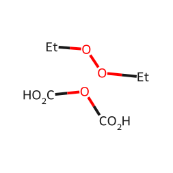 CCOOCC.O=C(O)OC(=O)O